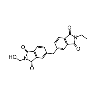 CCN1C(=O)c2ccc(Cc3ccc4c(c3)C(=O)N(CO)C4=O)cc2C1=O